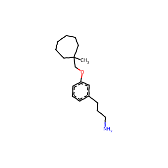 CC1(COc2cccc(CCCN)c2)CCCCCC1